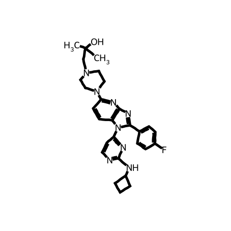 CC(C)(O)CN1CCN(c2ccc3c(n2)nc(-c2ccc(F)cc2)n3-c2ccnc(NC3CCC3)n2)CC1